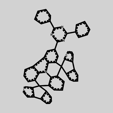 c1ccc(-c2nc(-c3ccccc3)nc(-c3cc4c5c(c3)c3cccc6c3n5-c3c(cccc3C43c4ccccc4-c4ccccc43)C63c4ccccc4-c4ccccc43)n2)cc1